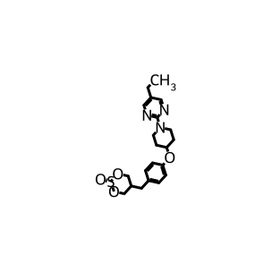 CCc1cnc(N2CCC(Oc3ccc(CC4COS(=O)OC4)cc3)CC2)nc1